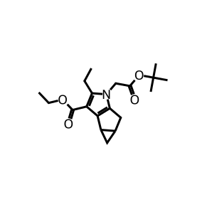 CCOC(=O)c1c2c(n(CC(=O)OC(C)(C)C)c1CC)CC1CC21